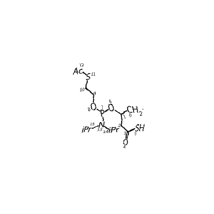 [CH2]C(CC(=O)S)OP(OCCSC(C)=O)N(C(C)C)C(C)C